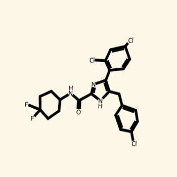 O=C(NC1CCC(F)(F)CC1)c1nc(-c2ccc(Cl)cc2Cl)c(Cc2ccc(Cl)cc2)[nH]1